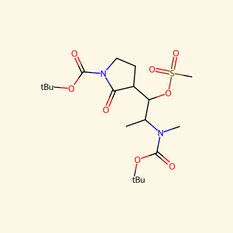 CC(C(OS(C)(=O)=O)C1CCN(C(=O)OC(C)(C)C)C1=O)N(C)C(=O)OC(C)(C)C